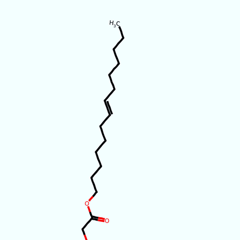 CCCCCCC=CCCCCCCOC(=O)CO